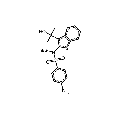 Bc1ccc(S(=O)(=O)N(CCCC)c2sc3ccccc3c2C(C)(C)O)cc1